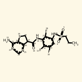 CCCS(=O)(=O)Nc1cc(F)c(F)c(NC(=O)C2CSc3c(N)ncnc32)c1F